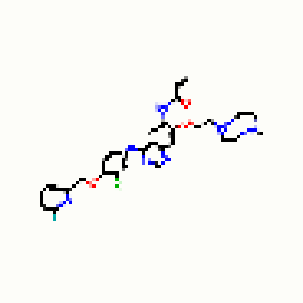 C=CC(=O)Nc1cc2c(Nc3ccc(OCc4cccc(F)n4)c(Cl)c3)ncnc2cc1OCCN1CCN(C)CC1